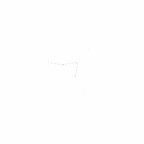 CC1C(I)[C@H]1C